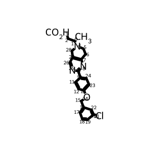 CC(CC(=O)O)N1CCc2nc(-c3ccc(OCc4cccc(Cl)c4)cc3)ncc2C1